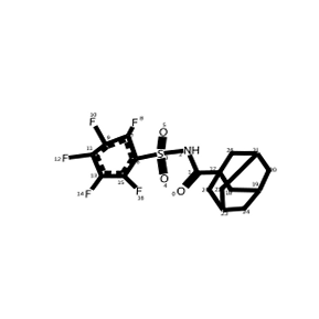 O=C(NS(=O)(=O)c1c(F)c(F)c(F)c(F)c1F)C12CC3CC(CC(C3)C1)C2